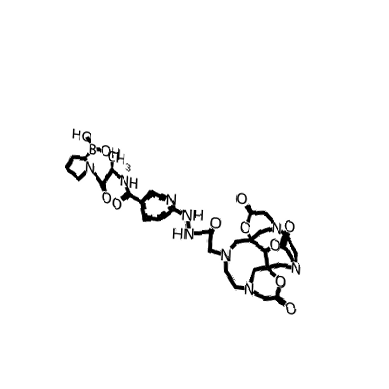 C[C@@H](NC(=O)c1ccc(NNC(=O)CN2CCN3CC(=O)OC4(CN5CCN6CC(=O)OC(C2)(C6)C4OC(=O)C5)C3)nc1)C(=O)N1CCC[C@H]1B(O)O